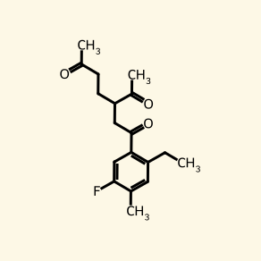 CCc1cc(C)c(F)cc1C(=O)CC(CCC(C)=O)C(C)=O